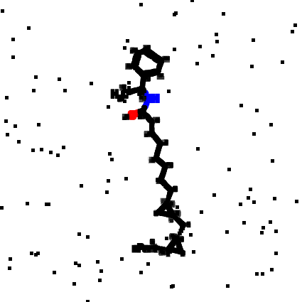 CCCCC[C@H]1C[C@H]1C[C@H]1C[C@H]1CCCCCCCC(=O)NC(C)c1ccccc1